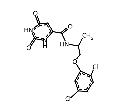 CC(COc1cc(Cl)ccc1Cl)NC(=O)c1cc(=O)[nH]c(=O)[nH]1